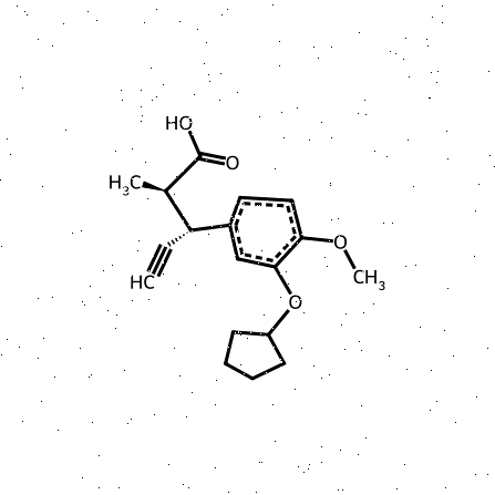 C#C[C@@H](c1ccc(OC)c(OC2CCCC2)c1)[C@@H](C)C(=O)O